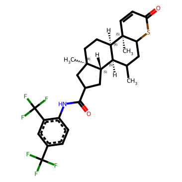 CC1CC2SC(=O)C=C[C@]2(C)[C@@H]2CC[C@]3(C)CC(C(=O)Nc4ccc(C(F)(F)F)cc4C(F)(F)F)C[C@H]3[C@H]12